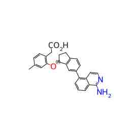 Cc1ccc(CC(=O)O)c(O[C@@H]2CCc3ccc(-c4cccc5c(N)nccc45)cc32)c1